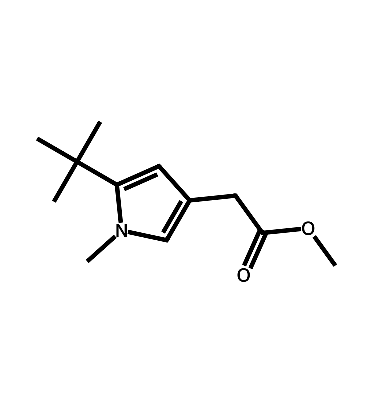 COC(=O)Cc1cc(C(C)(C)C)n(C)c1